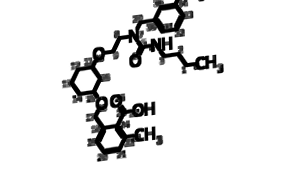 CCCCNC(=O)N(CCOC1CCCC(OCc2cccc(C)c2C(=O)O)C1)Cc1cccc(C)c1